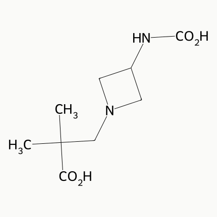 CC(C)(CN1CC(NC(=O)O)C1)C(=O)O